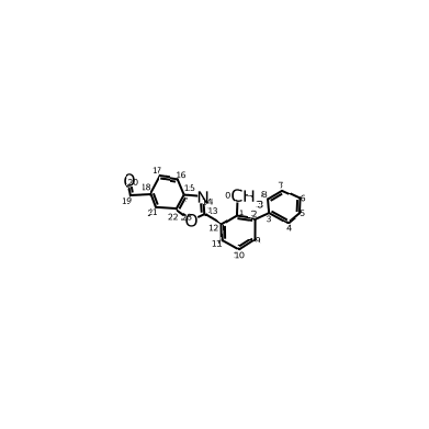 Cc1c(-c2ccccc2)cccc1-c1nc2ccc(C=O)cc2o1